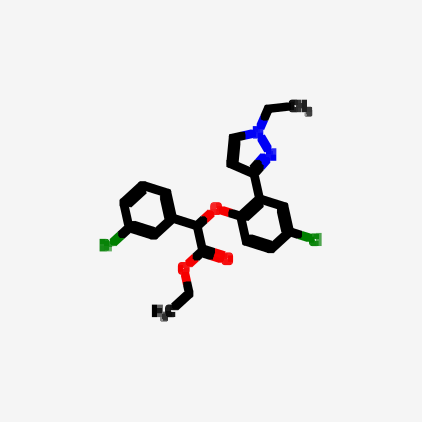 CCOC(=O)C(Oc1ccc(Cl)cc1-c1ccn(CC)n1)c1cccc(Br)c1